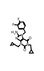 Nc1nc2c(c(=O)n(CC3CC3)c(=O)n2CC2CC2)n1Cc1ccc(F)c(F)c1